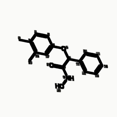 Cc1ccc(OC(C(=O)NO)c2ccccc2)cc1C